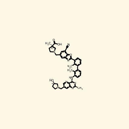 Cc1nc(Nc2cccc(-c3cccc(-c4nc5cc(CN6CC[C@@](C)(C(=O)O)C6)cc(C#N)c5o4)c3C)c2C)c2ncc(CN3CC[C@@H](O)C3)cc2n1